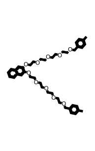 Cc1ccc(COCCOCCOCCOCCOc2cc3ccccc3cc2OCCOCCOCCOCCOCc2ccc(C)cc2)cc1